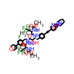 COC(=O)N[C@H](C(=O)N[C@@H](Cc1ccc(C#Cc2ccc(N3CC4CCC(C3)N4C3COC3)nc2)cc1)[C@@H](O)CN(Cc1c(F)cc(C2CCOCC2)cc1F)NC(=O)[C@@H](NC(=O)OC)C(C)(C)C(F)(F)F)C(C)(C)C(F)(F)F